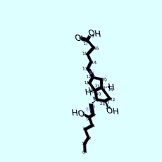 CCCCCC(O)/C=C/[C@@H]1[C@H]2C/C(=C/CCCC(=O)O)C[C@H]2C[C@H]1O